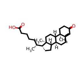 C[C@H](CCCCC(=O)O)[C@H]1CC[C@H]2[C@@H]3CCC4=CC(=O)CC[C@]4(C)[C@H]3CC[C@]12C